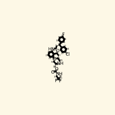 O=C(C[C@H](c1ccc(F)cc1)c1ccc(Cl)cc1)Nc1cccc(F)c1CC[C@@H]1CN[C@H](COC(=O)NCC(F)(F)F)CO1